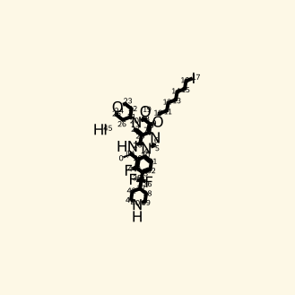 C[C@@H](Nc1ncnc2c(OCCCCCCCI)c(=O)n(C3CCOCC3)cc12)c1cccc(C(F)(F)C2CCNCC2)c1F.I